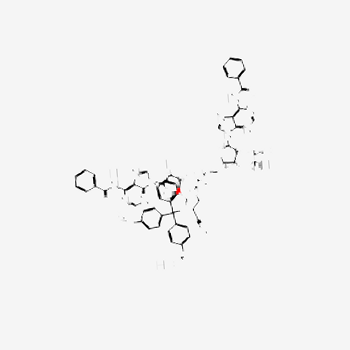 COc1ccc(C(OC[C@H]2O[C@@H](n3cnc4c(NC(=O)c5ccccc5)ncnc43)[C@H](F)[C@@H]2OP(=S)(OCCC#N)OC[C@H]2O[C@@H](n3cnc4c(NC(=O)c5ccccc5)ncnc43)[C@H](O[PH](=O)O)[C@H]2F)(c2ccccc2)c2ccc(OC)cc2)cc1